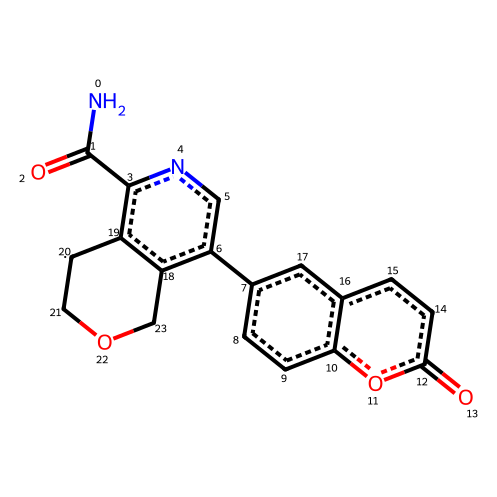 NC(=O)c1ncc(-c2ccc3oc(=O)ccc3c2)c2c1[CH]COC2